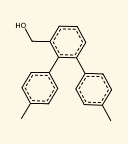 Cc1ccc(-c2cccc(CO)c2-c2ccc(C)cc2)cc1